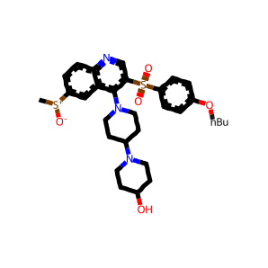 CCCCOc1ccc(S(=O)(=O)c2cnc3ccc([S+](C)[O-])cc3c2N2CCC(N3CCC(O)CC3)CC2)cc1